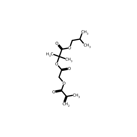 C=C(C)C(=O)OCC(=O)OC(C)(C)C(=O)OCC(C)C